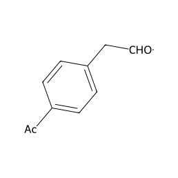 CC(=O)c1ccc(C[C]=O)cc1